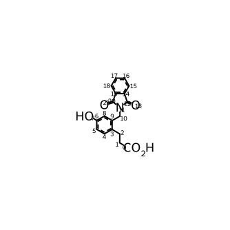 O=C(O)CCc1ccc(O)cc1CN1C(=O)c2ccccc2C1=O